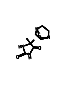 C1CN2CCN1CC2.CC1(C)NC(=O)NC1=O